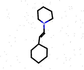 C(=CN1CCCCC1)C1CCCCC1